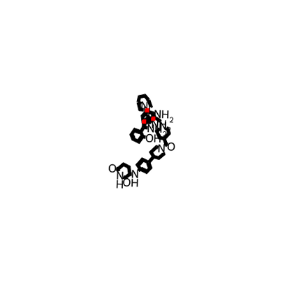 NC(N)=C(/C=C(\N)c1ccccc1O)N1CC2CCC(C1)N2c1cccc(CN2CCC(C(=O)N3CCC(c4ccc(NC5CCC(=O)NC5=O)cc4)CC3)CC2)c1